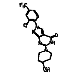 O=c1[nH]c(N2CCC(O)CC2)nc2nn(-c3ccc(C(F)(F)F)cc3Cl)cc12